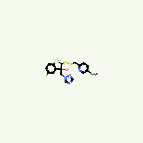 C[C@@H](SSCc1ccc(C(=O)O)cn1)[C@](O)(Cn1cncn1)c1cc(F)ccc1F